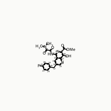 COC(=O)c1nc(NC(=O)C(=O)N(C)C)c2cc(Cc3ccc(F)cc3)cnc2c1O